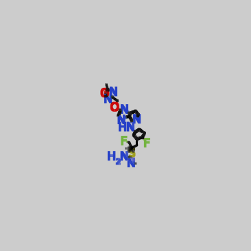 C/N=C(/N)S[C@@](C)(CF)Cc1cc(Nc2nccc3nc(OCc4noc(C)n4)cnc23)ccc1F